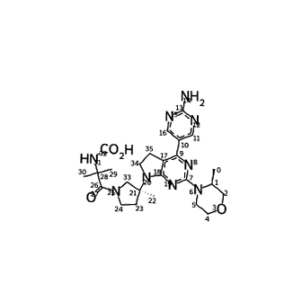 C[C@H]1COCCN1c1nc(-c2cnc(N)nc2)c2c(n1)N([C@@]1(C)CCN(C(=O)C(C)(C)NC(=O)O)C1)CC2